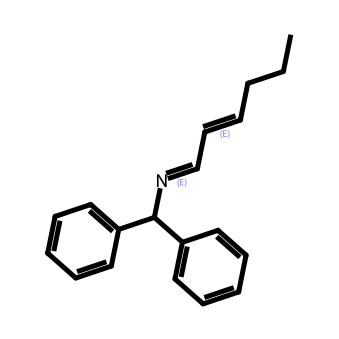 CCC/C=C/C=N/C(c1ccccc1)c1ccccc1